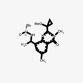 COC1(c2nc3c(C(C)N[S@+]([O-])C(C)(C)C)cc(C)cc3c(=O)n2C)CC1